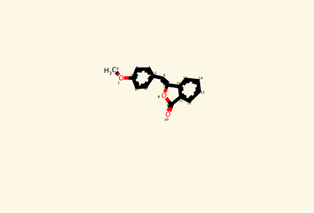 COc1ccc(C=C2OC(=O)c3ccccc32)cc1